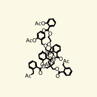 CC(=O)Cc1ccccc1C(=O)OCC(COCC(COCCOC(=O)c1ccccc1OC(C)=O)(COCc1ccccc1OC(C)=O)COC(=O)c1ccccc1OC(C)=O)(COC(=O)c1ccccc1CC(C)=O)COC(=O)c1ccccc1OC(C)=O